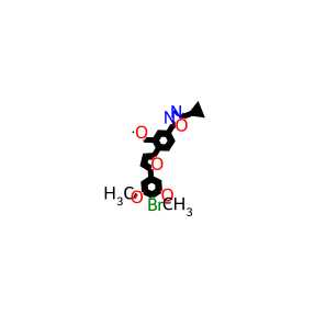 COc1cc(-c2ccc(-c3ccc(-c4nnc(C5CC5)o4)cc3C[O])o2)cc(OC)c1Br